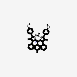 COc1ccc(C2=N/C(=C(/c3c(C)cc(C)cc3C)c3c(-c4ccccc4)c(I)c(-c4ccc(OC)cc4)n3B(C)F)C(c3ccccc3)=C2I)cc1